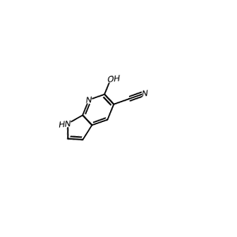 N#Cc1cc2cc[nH]c2nc1O